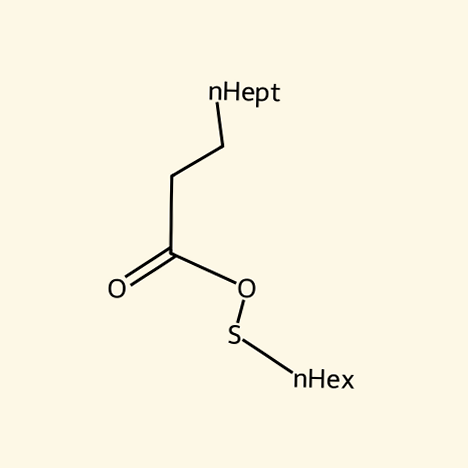 CCCCCCCCCC(=O)OSCCCCCC